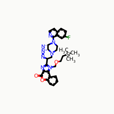 C[Si](C)(C)CCOCn1c(C(CN2CCN(c3nccc4ccc(F)cc34)CC2)N=[N+]=[N-])nc2c(=O)oc3ccccc3c21